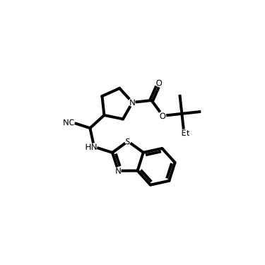 CCC(C)(C)OC(=O)N1CCC(C(C#N)Nc2nc3ccccc3s2)C1